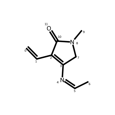 C=CC1=C(/N=C\C)CN(C)C1=O